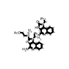 CC(=O)OCCN(C)c1nc2c(N)nc3ccccc3c2n1CC(C)C.CC(C)Cn1c(=O)[nH]c2c(N)nc3ccccc3c21